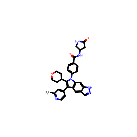 Cc1cc(-c2c(C3CCOCC3)n(-c3ccc(C(=O)NC4CNC(=O)C4)cc3)c3cc4[nH]ncc4cc23)ccn1